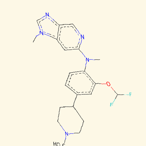 CN(c1cc2c(cn1)ncn2C)c1ccc(C2CCN(C(=O)O)CC2)cc1OC(F)F